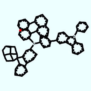 c1ccc(-c2cccc3cccc(-c4ccccc4N(c4ccc(-c5ccc6c(c5)c5ccccc5n6-c5ccccc5)cc4)c4ccc5c(c4)C4(c6ccccc6-5)C5CC6CC7CC4C75C6)c23)cc1